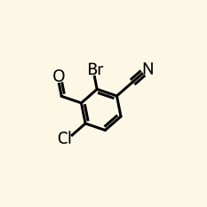 N#Cc1ccc(Cl)c(C=O)c1Br